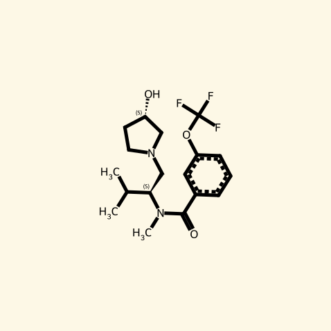 CC(C)[C@@H](CN1CC[C@H](O)C1)N(C)C(=O)c1cccc(OC(F)(F)F)c1